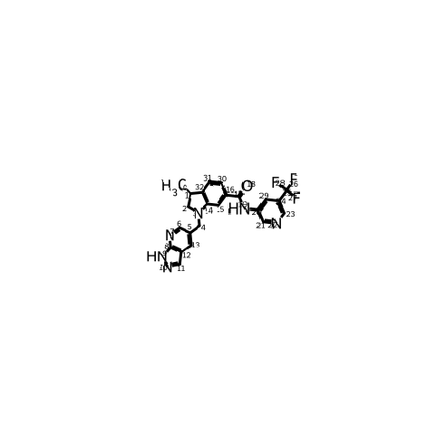 CC1CN(Cc2cnc3[nH]ncc3c2)c2cc(C(=O)Nc3cncc(C(F)(F)F)c3)ccc21